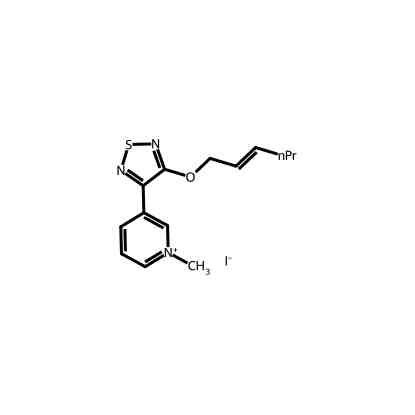 CCC/C=C/COc1nsnc1-c1ccc[n+](C)c1.[I-]